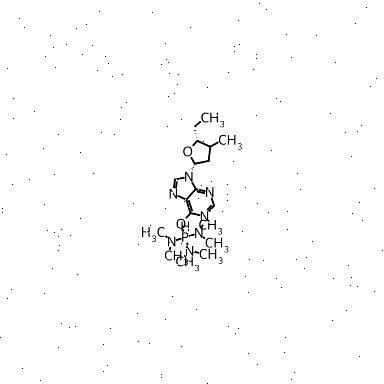 CC[C@H]1O[C@@H](n2cnc3c(O[PH](N(C)C)(N(C)C)N(C)C)ncnc32)CC1C